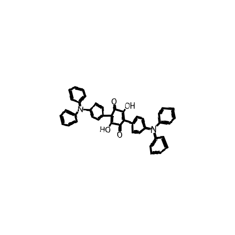 O=C1C(O)=C(c2ccc(N(c3ccccc3)c3ccccc3)cc2)C(=O)C(O)=C1c1ccc(N(c2ccccc2)c2ccccc2)cc1